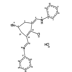 CC(C)(C)C1CC(=CNc2ccccc2)C(Cl)=C(C=Nc2ccccc2)C1.Cl